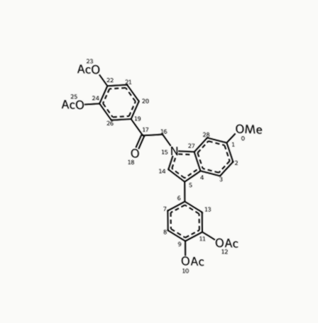 COc1ccc2c(-c3ccc(OC(C)=O)c(OC(C)=O)c3)cn(CC(=O)c3ccc(OC(C)=O)c(OC(C)=O)c3)c2c1